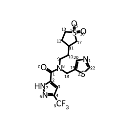 O=C(c1cc(C(F)(F)F)n[nH]1)N(CCC1CCS(=O)(=O)C1)Cc1cncs1